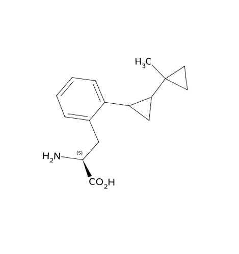 CC1(C2CC2c2ccccc2C[C@H](N)C(=O)O)CC1